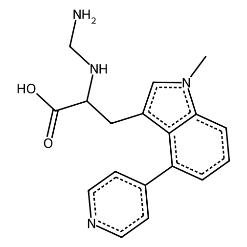 Cn1cc(CC(NCN)C(=O)O)c2c(-c3ccncc3)cccc21